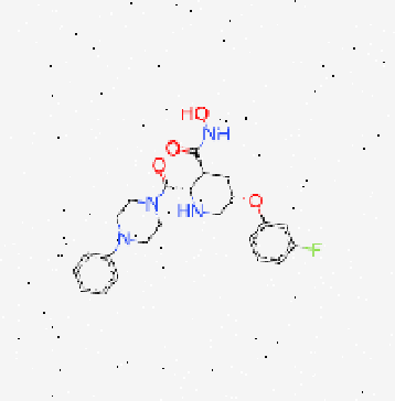 O=C(NO)[C@H]1C[C@H](Oc2cccc(F)c2)CN[C@@H]1C(=O)N1CCN(c2ccccc2)CC1